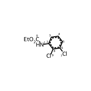 CCOC(=O)Nc1cccc(Cl)c1Cl